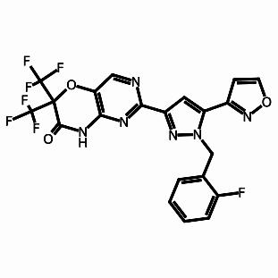 O=C1Nc2nc(-c3cc(-c4ccon4)n(Cc4ccccc4F)n3)ncc2OC1(C(F)(F)F)C(F)(F)F